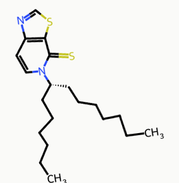 CCCCCCC[C@H](CCCCCC)n1ccc2ncsc2c1=S